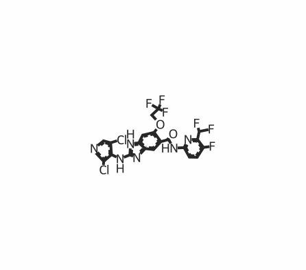 O=C(Nc1ccc(F)c(C(F)F)n1)c1cc2nc(Nc3c(Cl)cncc3Cl)[nH]c2cc1OCC(F)(F)F